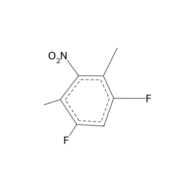 Cc1c(F)cc(F)c(C)c1[N+](=O)[O-]